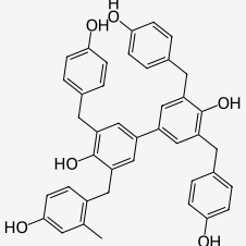 Cc1cc(O)ccc1Cc1cc(-c2cc(Cc3ccc(O)cc3)c(O)c(Cc3ccc(O)cc3)c2)cc(Cc2ccc(O)cc2)c1O